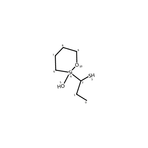 CCC(S)[Si]1(O)CCCCO1